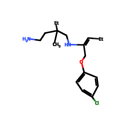 CC/C=C(\COc1ccc(Cl)cc1)NCC(C)(CC)CCN